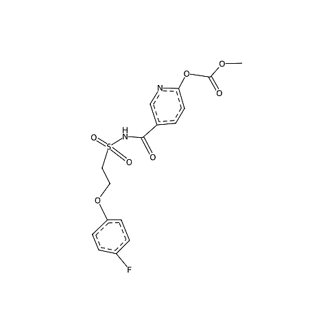 COC(=O)Oc1ccc(C(=O)NS(=O)(=O)CCOc2ccc(F)cc2)cn1